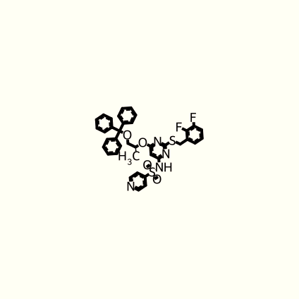 C[C@H](COC(c1ccccc1)(c1ccccc1)c1ccccc1)Oc1cc(NS(=O)(=O)c2ccncc2)nc(SCc2cccc(F)c2F)n1